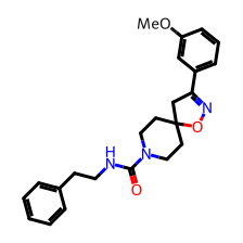 COc1cccc(C2=NOC3(CCN(C(=O)NCCc4ccccc4)CC3)C2)c1